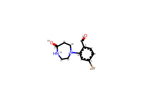 O=Cc1ccc(Br)cc1N1CCNC(=O)CC1